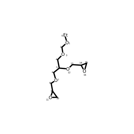 CCOCOCC(COCC1CO1)OCC1CO1